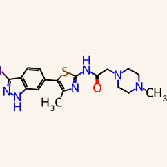 Cc1nc(NC(=O)CN2CCN(C)CC2)sc1-c1ccc2c(I)n[nH]c2c1